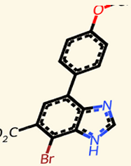 CCOC(=O)c1cc(-c2ccc(OC(F)(F)F)cc2)c2nc[nH]c2c1Br